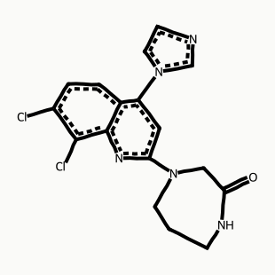 O=C1CN(c2cc(-n3ccnc3)c3ccc(Cl)c(Cl)c3n2)CCCN1